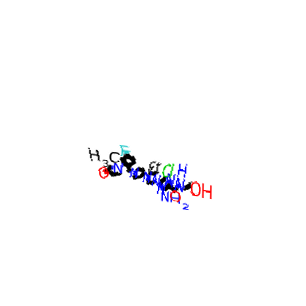 CC[C@H]1CN(c2nc(N)c(C(=O)NCCO)nc2Cl)CCN1C1CCN(Cc2ccc(F)c(C)c2N2CCC(=O)C2)CC1